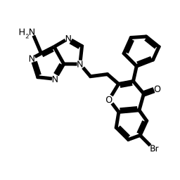 Nc1ncnc2c1ncn2CCc1oc2ccc(Br)cc2c(=O)c1-c1ccccc1